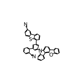 N#Cc1ccc2sc3c(-c4cc(-c5ccccc5C#N)cc(-n5c6ccccc6c6c7oc8ccccc8c7ccc65)c4)cccc3c2c1